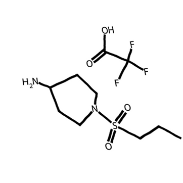 CCCS(=O)(=O)N1CCC(N)CC1.O=C(O)C(F)(F)F